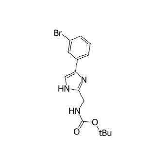 CC(C)(C)OC(=O)NCc1nc(-c2cccc(Br)c2)c[nH]1